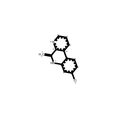 C=C1Nc2cc(Cl)ccc2-c2cccnc21